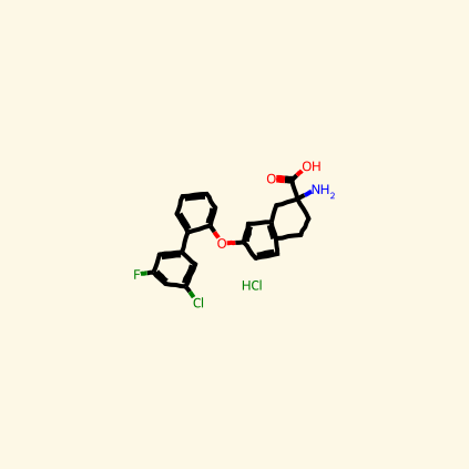 Cl.NC1(C(=O)O)CCc2ccc(Oc3ccccc3-c3cc(F)cc(Cl)c3)cc2C1